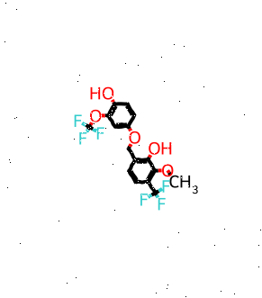 COc1c(C(F)(F)F)ccc(COc2ccc(O)c(OC(F)(F)F)c2)c1O